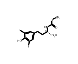 CC(C)(C)OC(=O)N[C@@H](CCc1cc(I)c(O)c(I)c1)C(=O)O